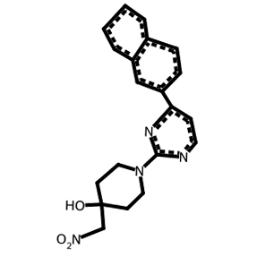 O=[N+]([O-])CC1(O)CCN(c2nccc(-c3ccc4ccccc4c3)n2)CC1